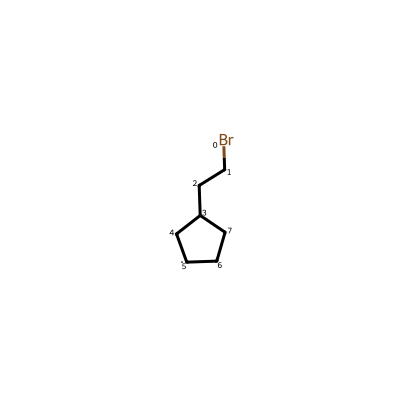 BrCCC1C[CH]CC1